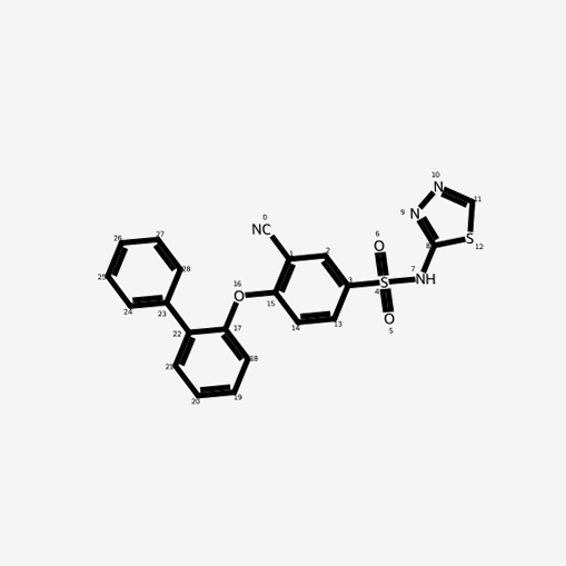 N#Cc1cc(S(=O)(=O)Nc2nncs2)ccc1Oc1ccccc1-c1ccccc1